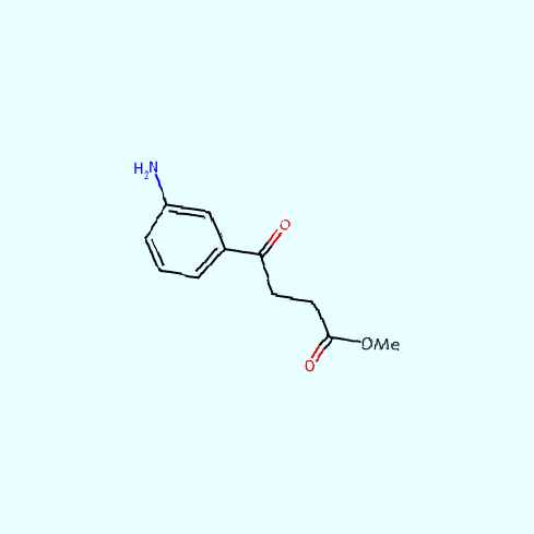 COC(=O)CCC(=O)c1cccc(N)c1